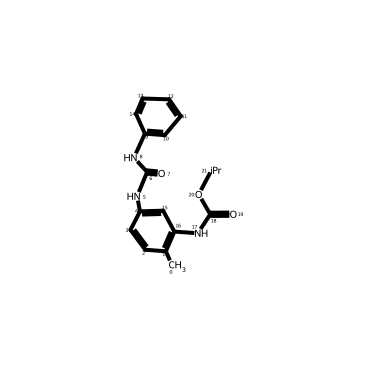 Cc1ccc(NC(=O)Nc2ccccc2)cc1NC(=O)OC(C)C